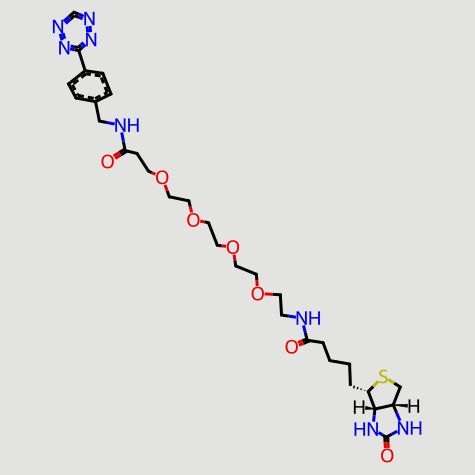 O=C(CCCC[C@@H]1SC[C@@H]2NC(=O)N[C@@H]21)NCCOCCOCCOCCOCCC(=O)NCc1ccc(-c2nncnn2)cc1